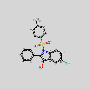 Cc1ccc(S(=O)(=O)n2c(-c3ccccc3)c(O)c3cc(F)ccc32)cc1